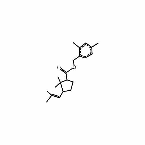 CC(C)=CC1CCC(C(=O)OCc2ccc(C)cc2C)C1(C)C